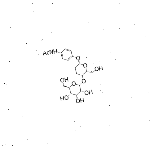 CC(=O)Nc1ccc(O[C@@H]2CCC(O[C@H]3O[C@H](CO)[C@@H](O)[C@H](O)[C@H]3O)[C@@H](CO)O2)cc1